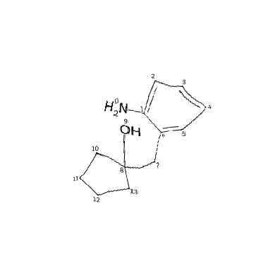 Nc1ccccc1CC1(O)CCCC1